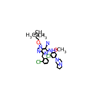 COc1cc(N2CCN3CCCC3C2)ccc1Nc1nc(Cc2c(Cl)cccc2Cl)c2ncn(COCC[Si](C)(C)C)c2c1C#N